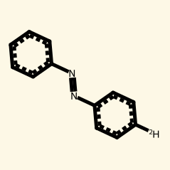 [2H]c1ccc(N=Nc2ccccc2)cc1